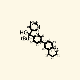 CC(C)(C)C(O)(c1cncnc1)c1ccc(-c2ccc3c(c2)CCCO3)cn1